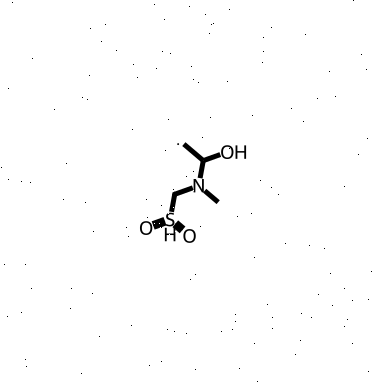 [CH2]C(O)N(C)C[SH](=O)=O